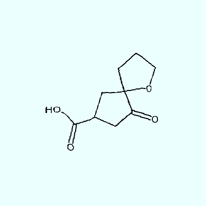 O=C(O)C1CC(=O)C2(CCCO2)C1